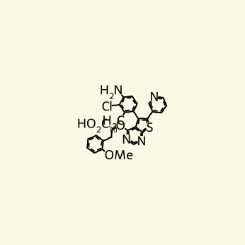 COc1ccccc1C[C@@H](Oc1ncnc2sc(-c3cccnc3)c(-c3ccc(N)c(Cl)c3C)c12)C(=O)O